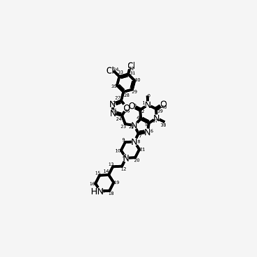 Cn1c(=O)c2c(nc(N3CCN(CCC4CCNCC4)CC3)n2Cc2nnc(-c3ccc(Cl)c(Cl)c3)o2)n(C)c1=O